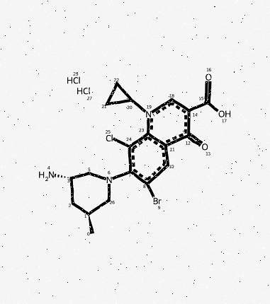 C[C@H]1C[C@H](N)CN(c2c(Br)cc3c(=O)c(C(=O)O)cn(C4CC4)c3c2Cl)C1.Cl.Cl